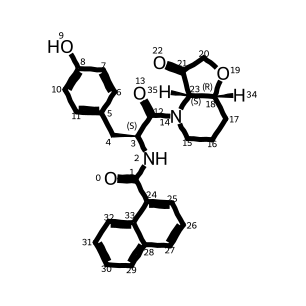 O=C(N[C@@H](Cc1ccc(O)cc1)C(=O)N1CCC[C@H]2OCC(=O)[C@H]21)c1cccc2ccccc12